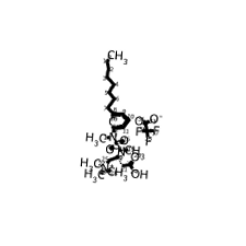 CCCCCCCCc1cccc(N(C)S(=O)(=O)N(C)[C@H](CC(=O)O)C[N+](C)(C)C)c1.O=C([O-])C(F)(F)F